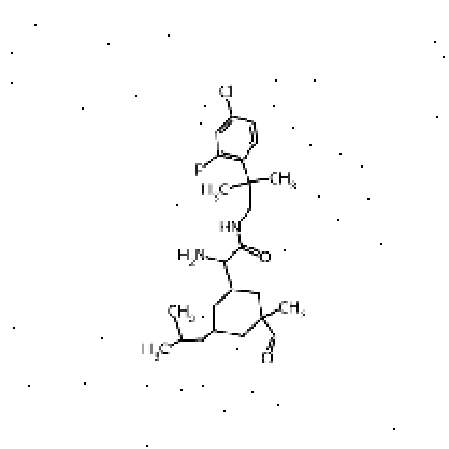 CC(C)CC1CC(C(N)C(=O)NCC(C)(C)c2ccc(Cl)cc2F)CC(C)(C=O)C1